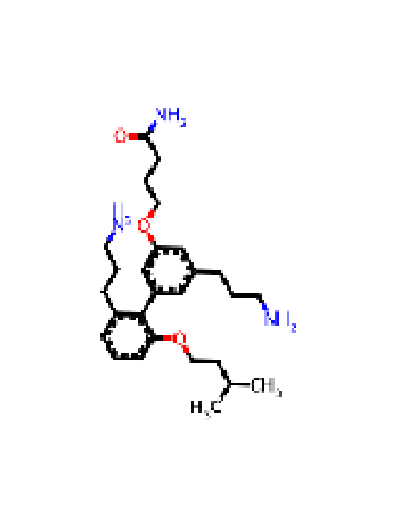 CC(C)CCOc1cccc(CCCN)c1-c1cc(CCCN)cc(OCCCC(N)=O)c1